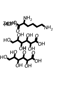 Cl.NCCCCC(N)C(=O)O.O=C(O)C(O)C(O)C(O)C(O)CO.O=C(O)C(O)C(O)C(O)C(O)CO.[CaH2].[Zn]